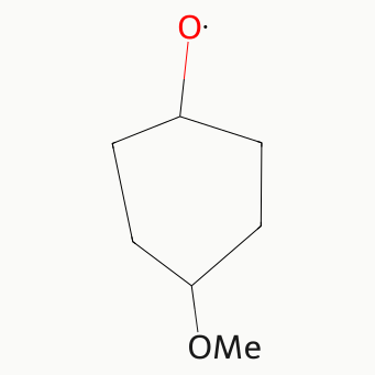 COC1CCC([O])CC1